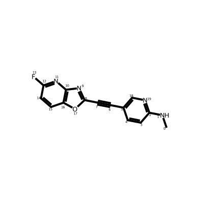 CNc1ccc(C#Cc2nc3nc(F)ccc3o2)cn1